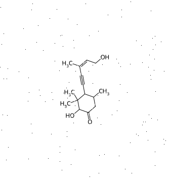 CC(C#CC1C(C)CC(=O)C(O)C1(C)C)=CCO